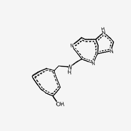 Oc1cccc(CNc2ncc3[nH]cnc3n2)c1